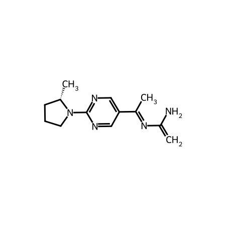 C=C(N)/N=C(\C)c1cnc(N2CCC[C@@H]2C)nc1